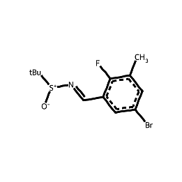 Cc1cc(Br)cc(/C=N/[S+]([O-])C(C)(C)C)c1F